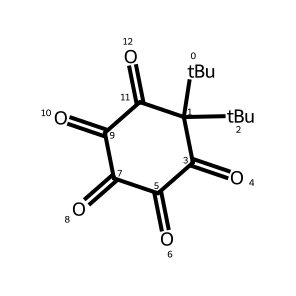 CC(C)(C)C1(C(C)(C)C)C(=O)C(=O)C(=O)C(=O)C1=O